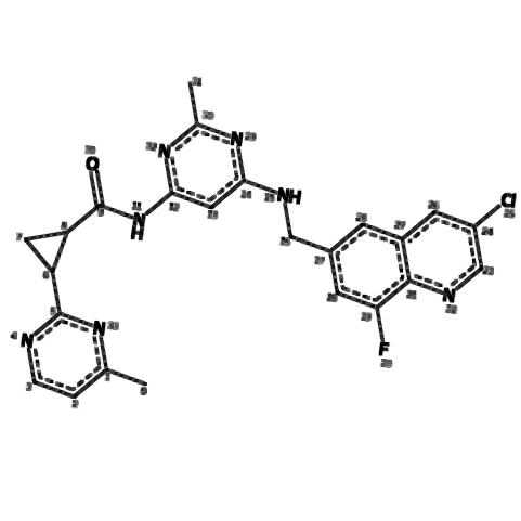 Cc1ccnc(C2CC2C(=O)Nc2cc(NCc3cc(F)c4ncc(Cl)cc4c3)nc(C)n2)n1